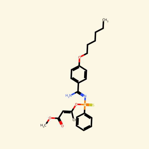 CCCCCCOc1ccc(C(N)=NP(=S)(OC(C)=CC(=O)OC)c2ccccc2)cc1